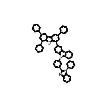 c1ccc(-c2cc(-c3ccccc3)c3oc4c(-c5ccc6c(c5)c5ccccc5n6-c5cccc(-c6nc7ccccc7n6-c6ccccc6)c5)cc(-c5ccccc5)cc4c3c2)cc1